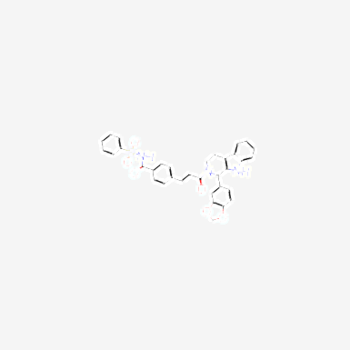 O=C(NS(=O)(=O)c1ccccc1)c1ccc(/C=C/C(=O)N2CCc3c([nH]c4ccccc34)C2c2ccc3c(c2)OCO3)cc1